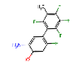 Cc1c(F)c(F)c(F)c(-c2cc(N)c(O)cc2F)c1F